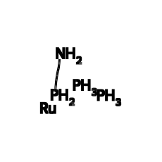 NP.P.P.[Ru]